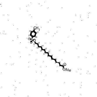 COC(=O)CCCCCCCCCCCCCCCOS(=O)(=O)c1ccc(C)cc1